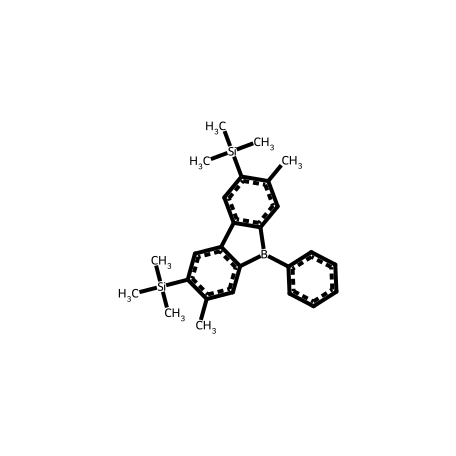 Cc1cc2c(cc1[Si](C)(C)C)-c1cc([Si](C)(C)C)c(C)cc1B2c1ccccc1